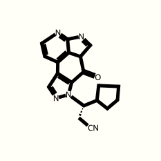 N#CC[C@@H](C1CCCC1)n1ncc2c1C(=O)C1C=Nc3nccc-2c31